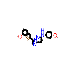 COc1cccc2cc(-c3cnc4ccc(N[C@H]5CC[C@H](OC)CC5)nn34)sc12